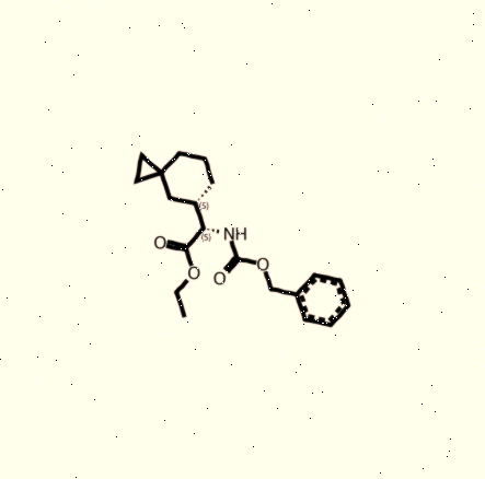 CCOC(=O)[C@@H](NC(=O)OCc1ccccc1)[C@H]1CCCC2(CC2)C1